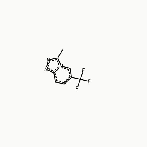 Cc1nnc2ccc(C(F)(F)F)cn12